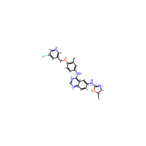 Cc1cc(Nc2ncnc3ccc(NC4=NCC(C)O4)cc23)ccc1OCc1cncc(F)c1